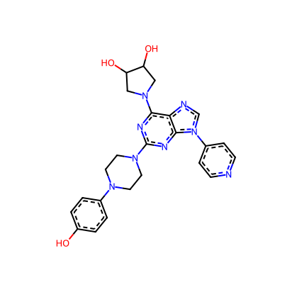 Oc1ccc(N2CCN(c3nc(N4CC(O)C(O)C4)c4ncn(-c5ccncc5)c4n3)CC2)cc1